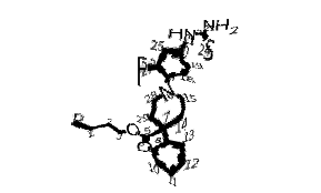 CCCCOC(=O)C1(c2ccccc2)CCN(c2ccc(NC(N)=S)cc2F)CC1